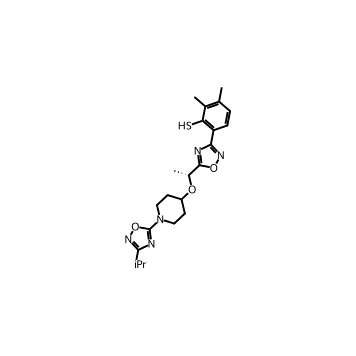 Cc1ccc(-c2noc([C@@H](C)OC3CCN(c4nc(C(C)C)no4)CC3)n2)c(S)c1C